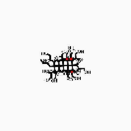 CCCCC(C(=O)C(O)CO)(C(=O)C(O)CO)C(C(=O)C(O)CO)(C(=O)C(O)CO)C(C(=O)C(O)CO)(C(=O)C(O)CO)C(C(=O)C(O)CO)(C(=O)C(O)CO)C(C(=O)O)(C(=O)C(O)CO)C(=O)C(O)CO